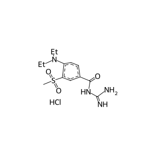 CCN(CC)c1ccc(C(=O)NC(=N)N)cc1S(C)(=O)=O.Cl